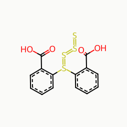 O=C(O)c1ccccc1S(=S=S=S)c1ccccc1C(=O)O